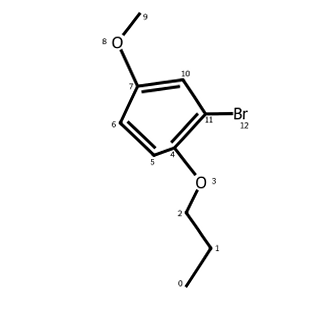 CCCOc1ccc(OC)cc1Br